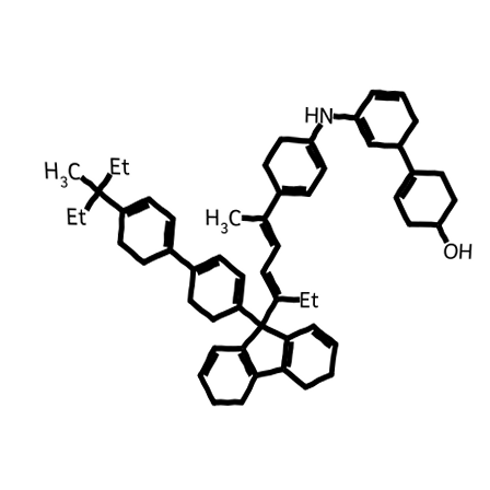 CC/C(=C\C=C(/C)C1=CC=C(NC2=CC(C3=CCC(O)CC3)CC=C2)CC1)C1(C2=CC=C(C3=CC=C(C(C)(CC)CC)CC3)CC2)C2=C(CCC=C2)C2=C1C=CCC2